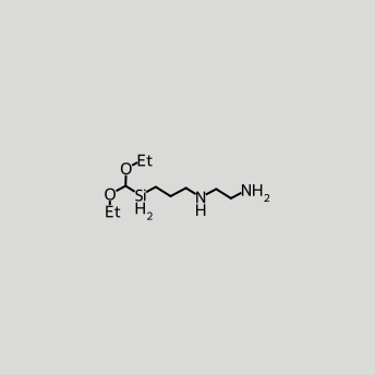 CCOC(OCC)[SiH2]CCCNCCN